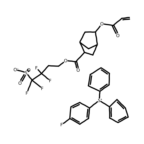 C=CC(=O)OC1CC2CC1CC2C(=O)OCCC(F)(F)C(F)(F)S(=O)(=O)[O-].Fc1ccc([S+](c2ccccc2)c2ccccc2)cc1